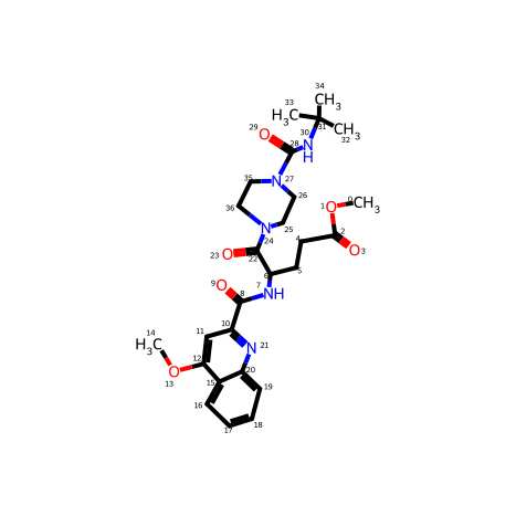 COC(=O)CCC(NC(=O)c1cc(OC)c2ccccc2n1)C(=O)N1CCN(C(=O)NC(C)(C)C)CC1